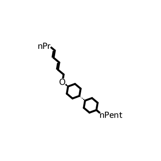 CCC/C=C/C=C/CO[C@H]1CC[C@H](C2CCC(CCCCC)CC2)CC1